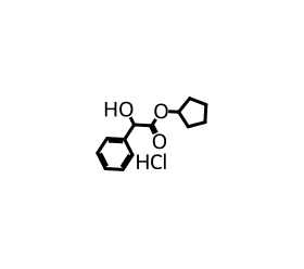 Cl.O=C(OC1CCCC1)C(O)c1ccccc1